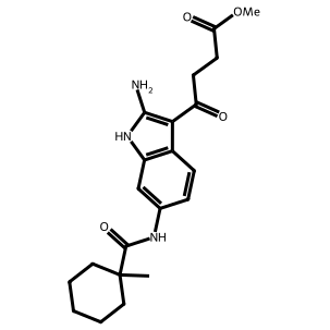 COC(=O)CCC(=O)c1c(N)[nH]c2cc(NC(=O)C3(C)CCCCC3)ccc12